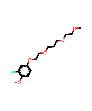 COCCOCCCOCCOc1ccc(O)c(F)c1